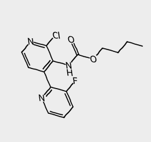 CCCCOC(=O)Nc1c(-c2ncccc2F)ccnc1Cl